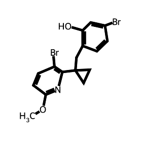 COc1ccc(Br)c(C2(Cc3ccc(Br)cc3O)CC2)n1